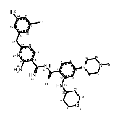 CN1CCN(c2ccc(C(=O)NC(=N)c3ccc(Cc4cc(F)cc(F)c4)nc3N)c(NC3CCOCC3)c2)CC1